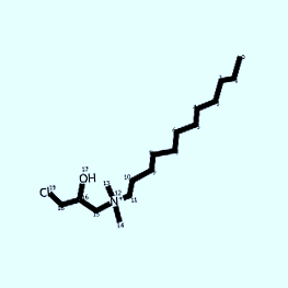 CCCCCCCCCCCC[N+](C)(C)CC(O)CCl